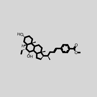 CC[C@H]1[C@@H](O)C2C3CC[C@H]([C@H](C)C/C=C/c4ccc(C(=O)OC)cc4)[C@@]3(C)CCC2[C@@]2(C)CC[C@@H](O)C[C@@H]12